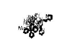 COC(CC(CNC(=O)CN(CCc1ccccn1)CCc1ccccn1)P(O)(O)(O)CC(C#N)N(C(C)C)C(C)C)(OC)C(c1ccccc1)(c1ccccc1)c1ccccc1